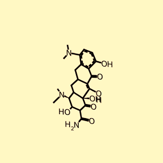 CN(C)c1ccc(O)c2c1CC1CC3[C@H](N(C)C)C(O)C(C(N)=O)C(=O)[C@@]3(O)C(O)=C1C2=O